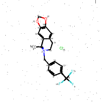 CC1=[N+](Cc2ccc(C(F)(F)F)cc2)CCc2cc3c(cc21)OCO3.[Cl-]